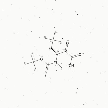 CN(C(=O)OC(C)(C)C)[C@@H](CC(C)(C)C)C(=O)C(=O)O